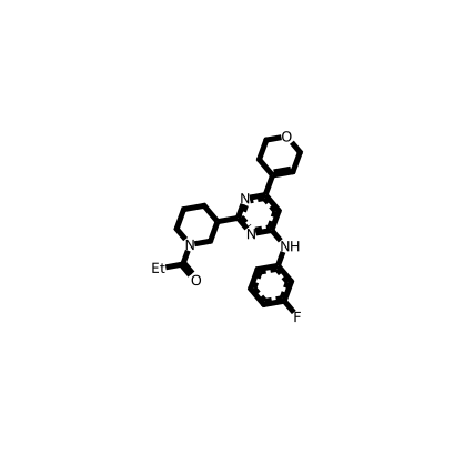 CCC(=O)N1CCCC(c2nc(Nc3cccc(F)c3)cc(C3=CCOCC3)n2)C1